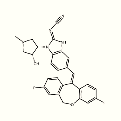 CN1C[C@@H](O)[C@@H](n2/c(=N/C#N)[nH]c3cc(/C=C4\c5ccc(F)cc5COc5cc(F)ccc54)ccc32)C1